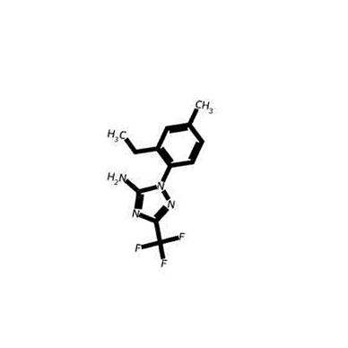 CCc1cc(C)ccc1-n1nc(C(F)(F)F)nc1N